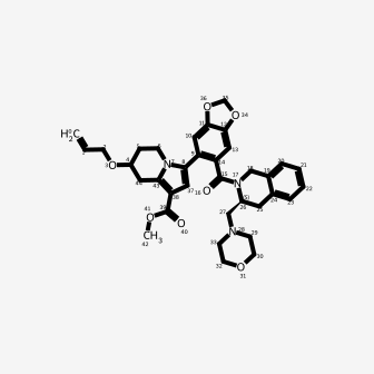 C=CCOC1CCn2c(-c3cc4c(cc3C(=O)N3Cc5ccccc5C[C@H]3CN3CCOCC3)OCO4)cc(C(=O)OC)c2C1